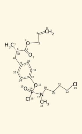 C=CCOC(=O)[C@@H](C)Cc1ccc(OP(=O)(Cl)N(C)CCCCCl)cc1